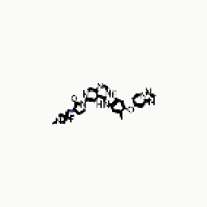 Cc1cc(Nc2ncnc3cnc(N4CC/C(=C\C5(F)CN(C)C5)C4=O)cc23)c(F)cc1Oc1ccn2ncnc2c1